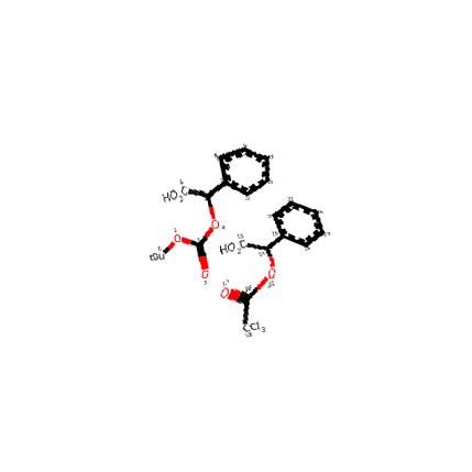 CC(C)(C)OC(=O)OC(C(=O)O)c1ccccc1.O=C(O)C(OC(=O)C(Cl)(Cl)Cl)c1ccccc1